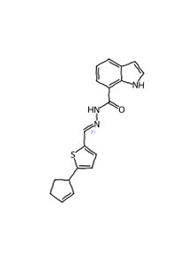 O=C(N/N=C/c1ccc(C2C=CCC2)s1)c1cccc2cc[nH]c12